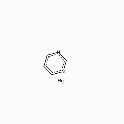 [Hg].c1cncnc1